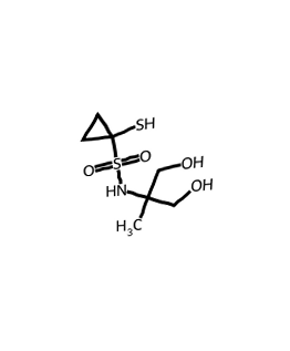 CC(CO)(CO)NS(=O)(=O)C1(S)CC1